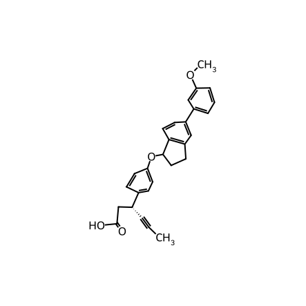 CC#C[C@H](CC(=O)O)c1ccc(OC2CCc3cc(-c4cccc(OC)c4)ccc32)cc1